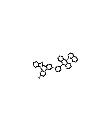 [C-]#[N+]c1ccc2c3cc(-c4cccc(-c5c6ccccc6c(-c6cccc7ccccc67)c6ccccc56)c4)ccc3c3nc4ccccc4n3c2c1